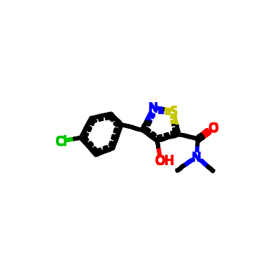 CN(C)C(=O)c1snc(-c2ccc(Cl)cc2)c1O